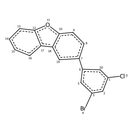 Clc1cc(Br)cc(-c2ccc3oc4ccccc4c3c2)c1